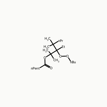 CCCCCC(=O)OC(C)(C)C(CC)(OOCCCC)C(C)(C)CCC